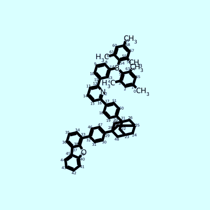 Cc1cc(C)c(B(c2cccc(-c3cccc(-c4ccc(C56CC7CC(C5)CC(c5ccc(-c8cccc9c8oc8ccccc89)cc5)(C7)C6)cc4)n3)c2)c2c(C)cc(C)cc2C)c(C)c1